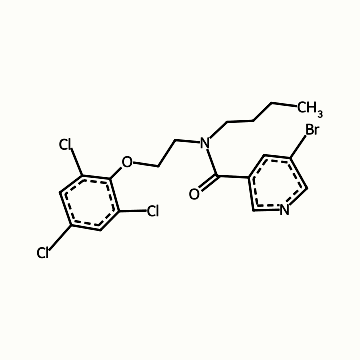 CCCCN(CCOc1c(Cl)cc(Cl)cc1Cl)C(=O)c1cncc(Br)c1